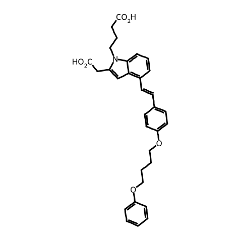 O=C(O)CCCn1c(CC(=O)O)cc2c(C=Cc3ccc(OCCCCOc4ccccc4)cc3)cccc21